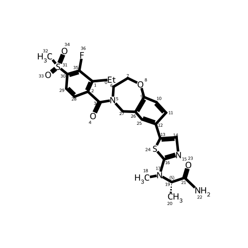 CCc1c(C(=O)N2CCOc3ccc(-c4cnc(N(C)[C@@H](C)C(N)=O)s4)cc3C2)ccc(S(C)(=O)=O)c1F